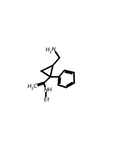 C=C(NCC)C1(c2ccccc2)CC1CN